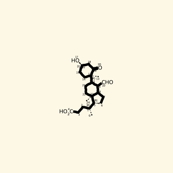 C[C@H](CCC(=O)O)[C@H]1CCC2C(C=O)C([C@@]3(C)CC[C@H](O)CC3=O)CC[C@@]21C